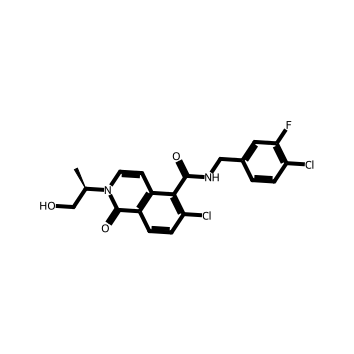 C[C@H](CO)n1ccc2c(C(=O)NCc3ccc(Cl)c(F)c3)c(Cl)ccc2c1=O